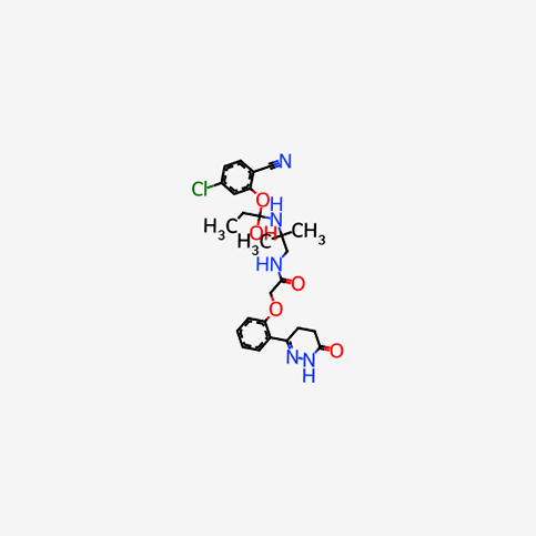 CCC(O)(NC(C)(C)CNC(=O)COc1ccccc1C1=NNC(=O)CC1)Oc1cc(Cl)ccc1C#N